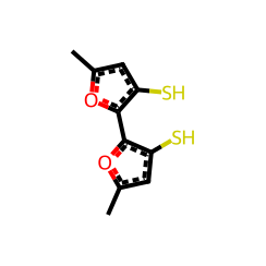 Cc1cc(S)c(-c2oc(C)cc2S)o1